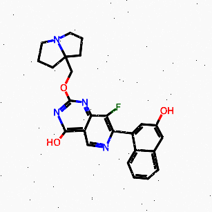 Oc1cc(-c2ncc3c(O)nc(OCC45CCCN4CCC5)nc3c2F)c2ccccc2c1